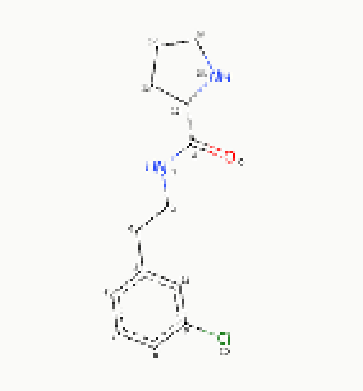 O=C(NCCc1cccc(Cl)c1)[C@@H]1CCCN1